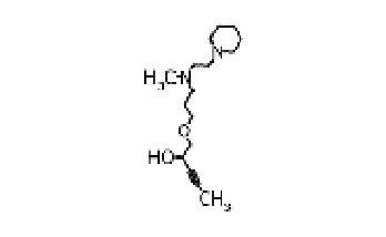 CC#CC(O)COCCCN(C)CCN1CCCCC1